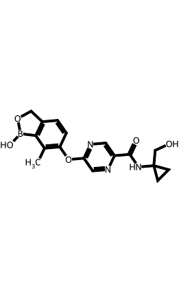 Cc1c(Oc2cnc(C(=O)NC3(CO)CC3)cn2)ccc2c1B(O)OC2